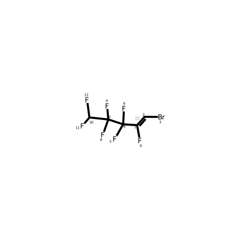 F/C(=C\Br)C(F)(F)C(F)(F)C(F)F